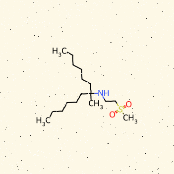 CCCCCCC(C)(CCCCCC)NCCS(C)(=O)=O